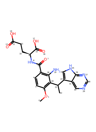 COc1ccc(C(=O)N[C@@H](CCC(=O)O)C(=O)O)c(N)c1C(C)c1c[nH]c2ncncc12